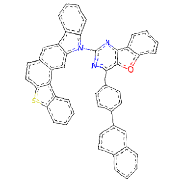 c1ccc2cc(-c3ccc(-c4nc(-n5c6ccccc6c6cc7ccc8sc9ccccc9c8c7cc65)nc5c4oc4ccccc45)cc3)ccc2c1